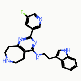 Fc1cncc(-c2nc3c(c(NCCc4c[nH]c5ccccc45)n2)CCNCC3)c1